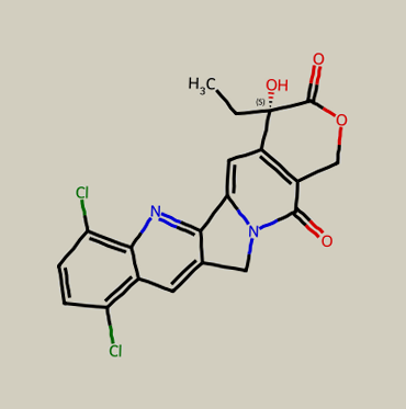 CC[C@@]1(O)C(=O)OCc2c1cc1n(c2=O)Cc2cc3c(Cl)ccc(Cl)c3nc2-1